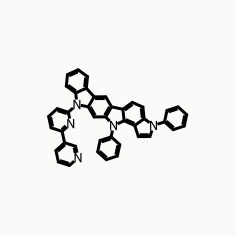 c1ccc(-n2ccc3c2ccc2c4cc5c6ccccc6n(-c6cccc(-c7cccnc7)n6)c5cc4n(-c4ccccc4)c23)cc1